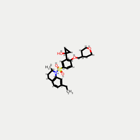 CCc1ccc2c(c1)N(S(=O)(=O)c1ccc(OCC3CCOCC3)c(C3(O)CC3)c1)C(C)CC2